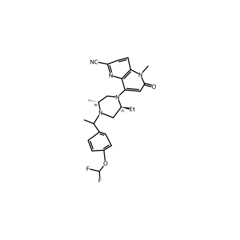 CC[C@H]1CN(C(C)c2ccc(OC(F)F)cc2)[C@H](C)CN1c1cc(=O)n(C)c2ccc(C#N)nc12